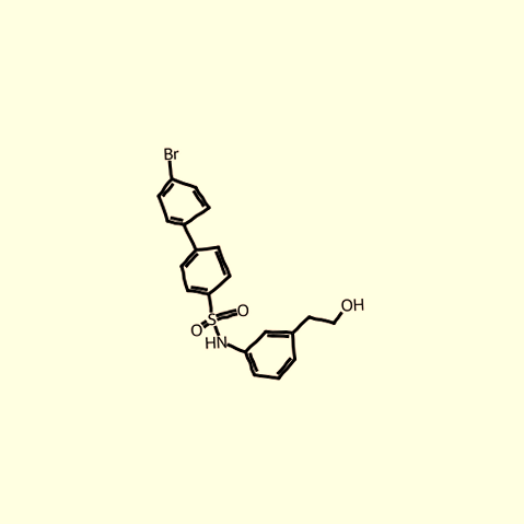 O=S(=O)(Nc1cccc(CCO)c1)c1ccc(-c2ccc(Br)cc2)cc1